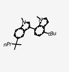 CCCC(C)(C)c1ccc2c(c1)c(-c1ccc(C(C)(C)C)c3ccn(C)c13)cn2C